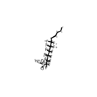 CCCCCC(F)(F)C(F)(F)C(F)(F)C(F)(F)C(F)(F)C(F)(F)S(=O)(=O)O